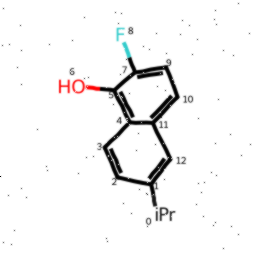 CC(C)c1ccc2c(O)c(F)ccc2c1